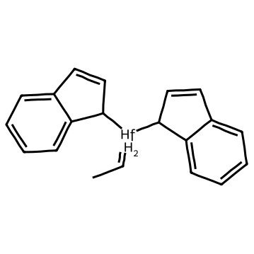 C[CH]=[HfH2]([CH]1C=Cc2ccccc21)[CH]1C=Cc2ccccc21